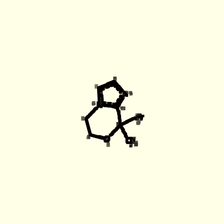 CC(C)C1(C)OCCn2ccnc21